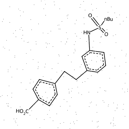 CCCCS(=O)(=O)Nc1cccc(CCc2ccc(C(=O)O)cc2)c1